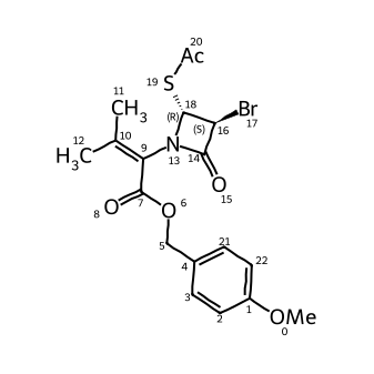 COc1ccc(COC(=O)C(=C(C)C)N2C(=O)[C@H](Br)[C@H]2SC(C)=O)cc1